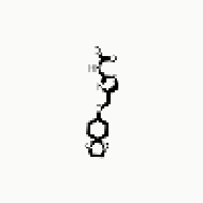 O=C(O)Nc1nc(COC2CCC3(CC2)OCCO3)cs1